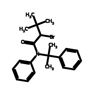 CC(C)(C)C(Br)C(=O)N(c1ccccc1)C(C)(C)c1ccccc1